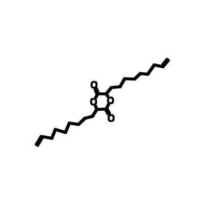 C=CCCCCCCCC1OC(=O)C(CCCCCCCC=C)OC1=O